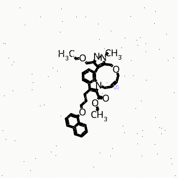 CCOCc1nn(C)c2c1-c1cccc3c(CCCOc4cccc5ccccc45)c(C(=O)OCC)n(c13)C/C=C\COC2